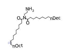 CCCCCCCC/C=C\CCCCCCCC(=O)N(CCN)C(=O)CCCCCCCCCCCCCCCCC